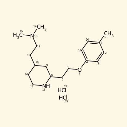 Cc1ccc(OCCC2CC(CCN(C)C)CCN2)cc1.Cl.Cl